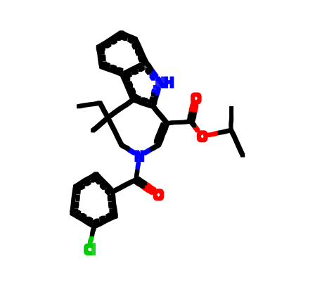 CCC1(C)CN(C(=O)c2cccc(Cl)c2)C=C(C(=O)OC(C)C)c2[nH]c3ccccc3c21